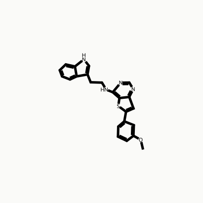 COc1cccc(-c2cc3ncnc(NCCc4c[nH]c5ccccc45)c3s2)c1